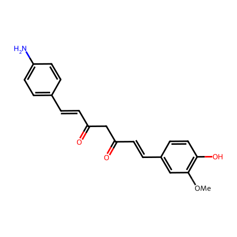 COc1cc(/C=C/C(=O)CC(=O)/C=C/c2ccc(N)cc2)ccc1O